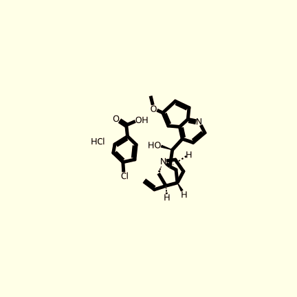 C=C[C@H]1C[N@]2CC[C@H]1C[C@@H]2[C@@H](O)c1ccnc2ccc(OC)cc12.Cl.O=C(O)c1ccc(Cl)cc1